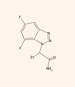 CCC(C(N)=O)n1nnc2cc(F)cc(F)c21